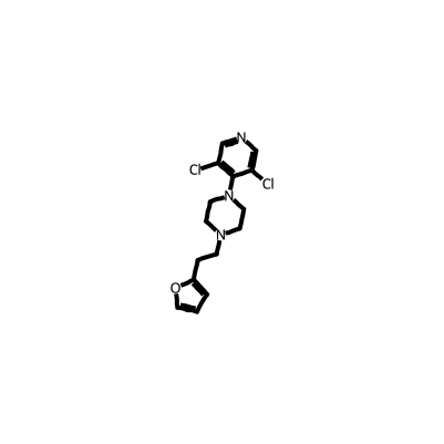 Clc1cncc(Cl)c1N1CCN(CCc2ccco2)CC1